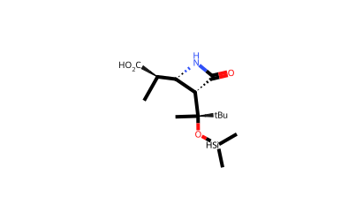 C[C@@H](C(=O)O)[C@@H]1NC(=O)[C@@H]1[C@@](C)(O[SiH](C)C)C(C)(C)C